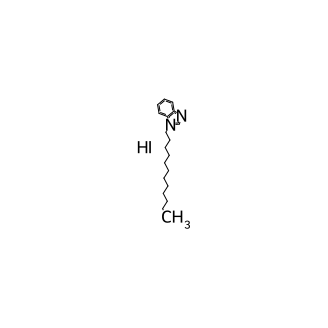 CCCCCCCCCCCCn1cnc2ccccc21.I